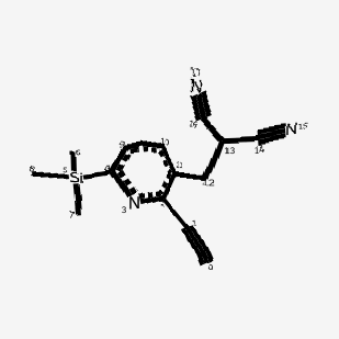 C#Cc1nc([Si](C)(C)C)ccc1CC(C#N)C#N